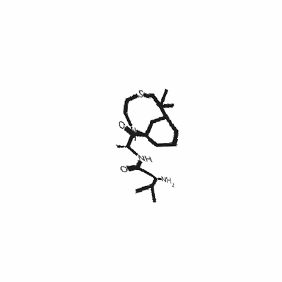 CC(C)[C@H](N)C(=O)N[C@@H](C)C(=O)C12CCCC(C1)C(C)(C)CSCCN2